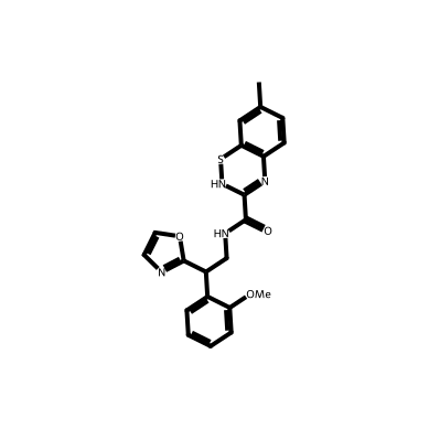 COc1ccccc1C(CNC(=O)C1=Nc2ccc(C)cc2SN1)c1ncco1